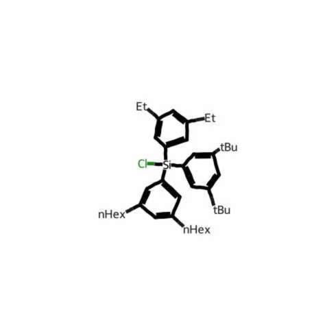 CCCCCCc1cc(CCCCCC)cc([Si](Cl)(c2cc(CC)cc(CC)c2)c2cc(C(C)(C)C)cc(C(C)(C)C)c2)c1